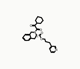 O=C(C(=O)N1Cc2ccccc2C[C@H]1C(=O)OCCCc1cccnc1)C1CCCCC1